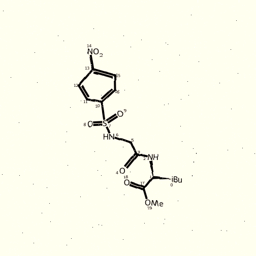 CC[C@H](C)[C@H](NC(=O)CNS(=O)(=O)c1ccc([N+](=O)[O-])cc1)C(=O)OC